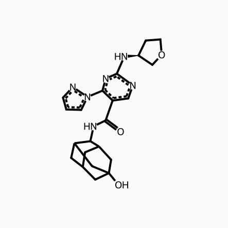 O=C(NC1C2CC3CC1CC(O)(C3)C2)c1cnc(N[C@H]2CCOC2)nc1-n1cccn1